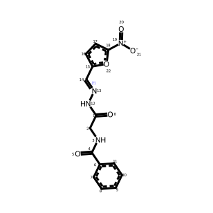 O=C(CNC(=O)c1ccccc1)N/N=C/c1ccc([N+](=O)[O-])o1